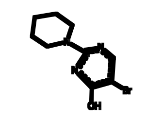 Oc1nc(N2CCCCC2)ncc1Br